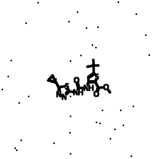 COC(=O)c1sc(C(C)(C)C)cc1NC(=O)Nc1nnc(C2CC2)s1